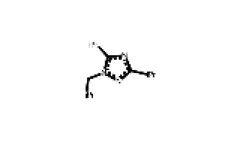 CC(C)Cn1nc(C(C)C)nc1C(C)C